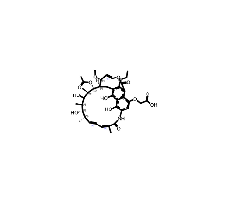 CCOc1c2c(O)c3c(O)c4cc(OCC(=O)O)c3c1C(=O)O/C=C/[C@H](OC)[C@@H](C2)[C@@H](OC(C)=O)[C@H](C)C(O)[C@H](C)[C@@H](O)[C@@H](C)/C=C/C=C(/C)C(=O)N4